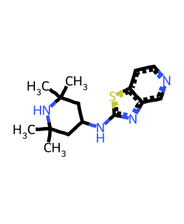 CC1(C)CC(Nc2nc3cnccc3s2)CC(C)(C)N1